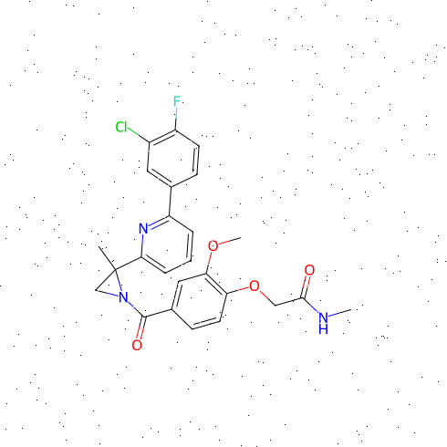 CNC(=O)COc1ccc(C(=O)N2CC2(C)c2cccc(-c3ccc(F)c(Cl)c3)n2)cc1OC